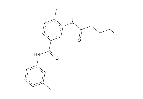 CCCCC(=O)Nc1cc(C(=O)Nc2cccc(C)n2)ccc1C